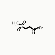 CCCNCCS(C)(=O)=O